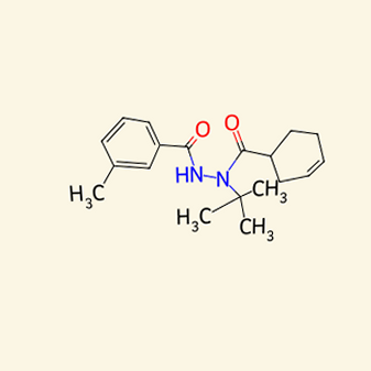 Cc1cccc(C(=O)NN(C(=O)C2CC=CCC2)C(C)(C)C)c1